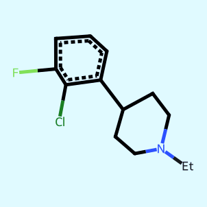 CCN1CCC(c2cccc(F)c2Cl)CC1